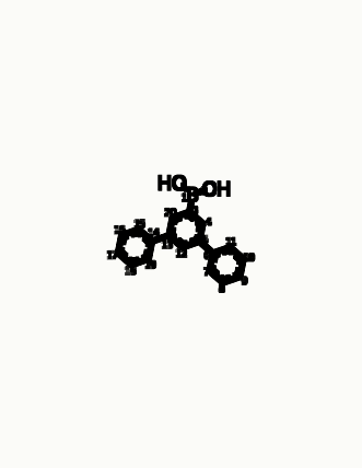 OB(O)c1cc(-c2ccccc2)cc(-c2ccccc2)c1